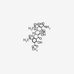 COC(=O)c1cc(N(C)C)c2c(c1O)C(=O)C1=C(O)[C@]3(O)C(=O)C(C(N)=O)=C(O)[C@@H](N(C)C)[C@@H]3C[C@@H]1C2